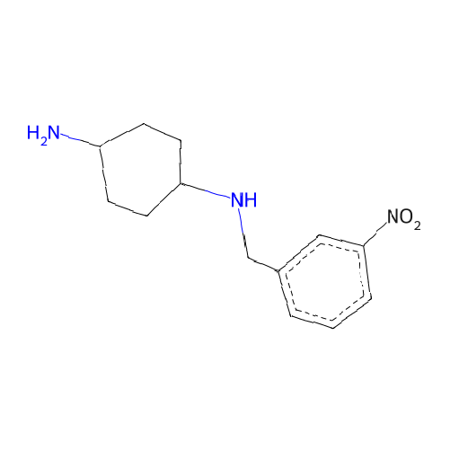 NC1CCC(NCc2cccc([N+](=O)[O-])c2)CC1